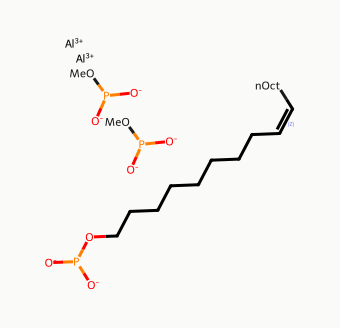 CCCCCCCC/C=C\CCCCCCCCOP([O-])[O-].COP([O-])[O-].COP([O-])[O-].[Al+3].[Al+3]